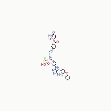 Nc1ncnc2c1c(-c1ccc(Oc3ccccc3)cc1)nn2C1CCN(C2CN(CC3CN(c4ccc5c(c4)CN(C4CCC(=O)NC4=O)C5=O)C3)C2)CC1.O=C(O)C(F)(F)F